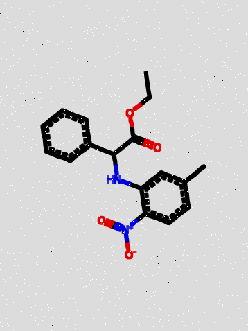 CCOC(=O)C(Nc1cc(C)ccc1[N+](=O)[O-])c1ccccc1